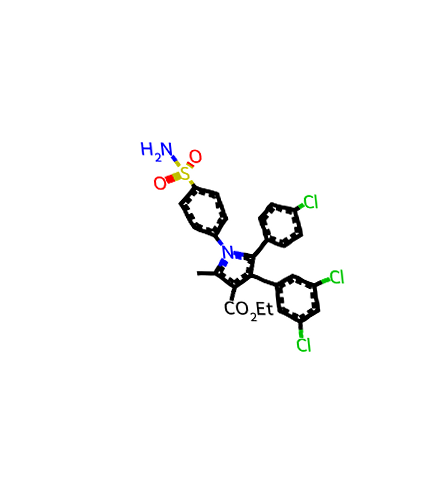 CCOC(=O)c1c(-c2cc(Cl)cc(Cl)c2)c(-c2ccc(Cl)cc2)n(-c2ccc(S(N)(=O)=O)cc2)c1C